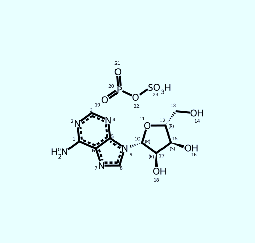 Nc1ncnc2c1ncn2[C@@H]1O[C@H](CO)[C@@H](O)[C@H]1O.O=P(=O)OS(=O)(=O)O